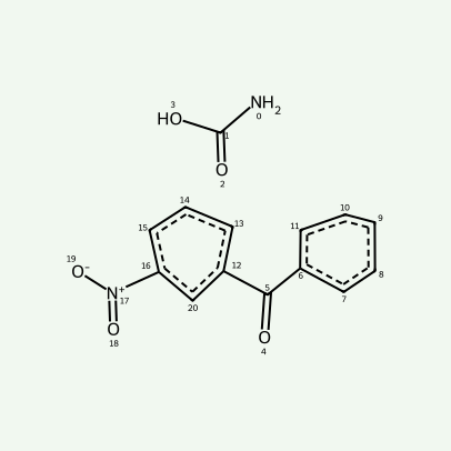 NC(=O)O.O=C(c1ccccc1)c1cccc([N+](=O)[O-])c1